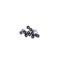 CN(c1ccccc1)c1ccc2c(c1)c1ccccc1n2-c1cccc2c(-c3cc(N(C)c4ccc(-c5ccccc5)cc4)cc4c3c3ccccc3n4-c3ccc4ccccc4c3)cccc12